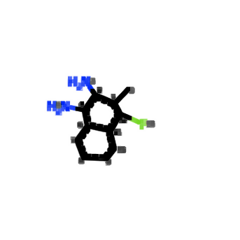 Cc1c(N)c(N)c2ccccc2c1F